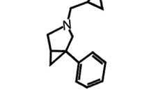 c1ccc(C23CC2CN(CC2CC2)C3)cc1